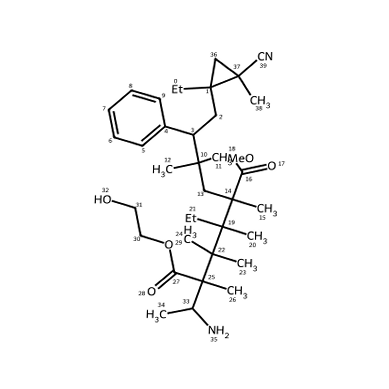 CCC1(CC(c2ccccc2)C(C)(C)CC(C)(C(=O)OC)C(C)(CC)C(C)(C)C(C)(C(=O)OCCO)C(C)N)CC1(C)C#N